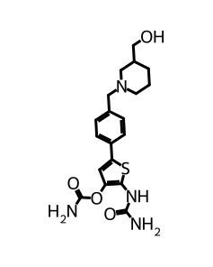 NC(=O)Nc1sc(-c2ccc(CN3CCCC(CO)C3)cc2)cc1OC(N)=O